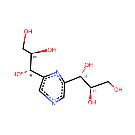 OC[C@@H](O)[C@@H](O)c1cncc([C@H](O)[C@H](O)CO)n1